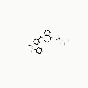 CCN(c1ccccc1)N(C(C)=O)c1ccc(C(=O)N2CCCC(OCC(=O)N(C)C)c3ccccc32)cc1